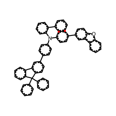 c1ccc(-c2ccccc2N(c2ccc(-c3ccc4c(c3)-c3ccccc3C4(c3ccccc3)c3ccccc3)cc2)c2ccc(-c3ccc4oc5ccccc5c4c3)cc2)cc1